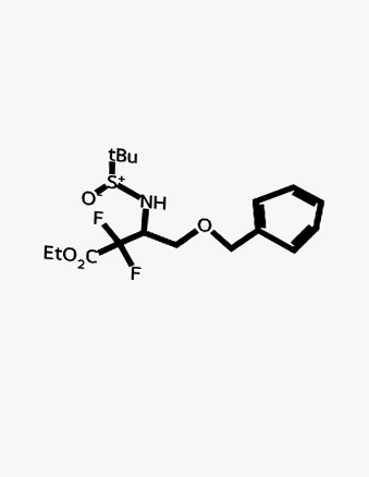 CCOC(=O)C(F)(F)C(COCc1ccccc1)N[S+]([O-])C(C)(C)C